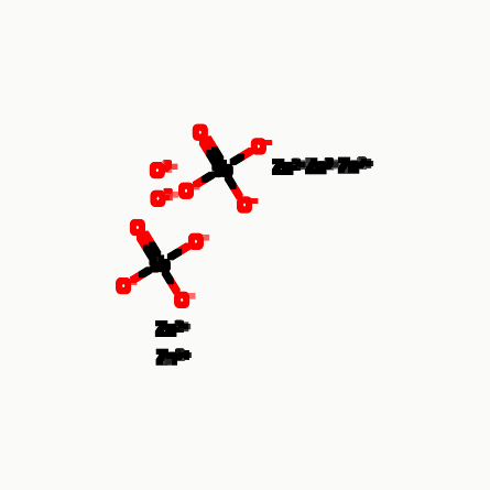 [O-2].[O-2].[O]=[Sb]([O-])([O-])[O-].[O]=[Sb]([O-])([O-])[O-].[Zn+2].[Zn+2].[Zn+2].[Zn+2].[Zn+2]